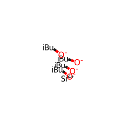 CCC(C)[O-].CCC(C)[O-].CCC(C)[O-].CCC(C)[O-].[Si+4]